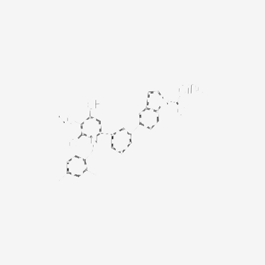 Cc1ccc(Cn2c(-c3cccc(-c4ccc5c(ccn5C(=O)OCC(C)C)c4)c3)cc(C(F)(F)F)c(C#N)c2=O)c(C)c1